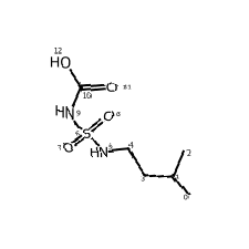 CC(C)CCNS(=O)(=O)NC(=O)O